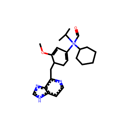 COC1=CC([N+](C=O)(C(C)C)C2CCCCC2)=CCC1Cc1nccc2[nH]cnc12